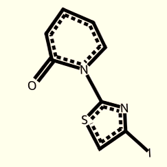 O=c1ccccn1-c1nc(I)cs1